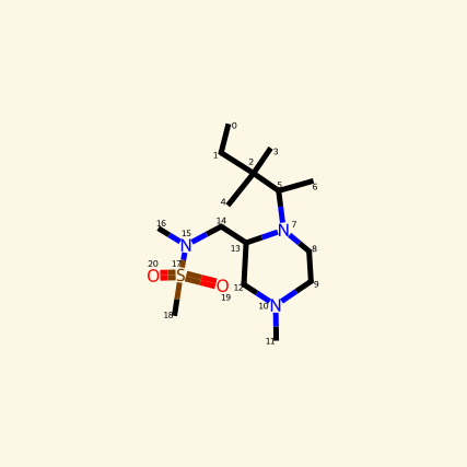 CCC(C)(C)C(C)N1CCN(C)CC1CN(C)S(C)(=O)=O